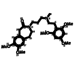 COc1cc(OC)c(CCN(C)CCCN2CCc3cc(OC)c(OC)cc3CC2=O)c(OC)c1